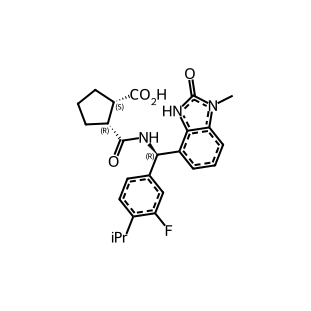 CC(C)c1ccc([C@@H](NC(=O)[C@@H]2CCC[C@@H]2C(=O)O)c2cccc3c2[nH]c(=O)n3C)cc1F